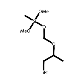 CO[Si](C)(OC)OCOC(C)CC(C)C